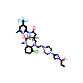 C=CC(=O)N1CC(N2CCN(CCN3C[C@H]4CC(=O)N(c5cc(C(F)(F)F)cc(C)n5)[C@@H]4C(=O)N(C)c4cccc(Cl)c43)CC2)C1